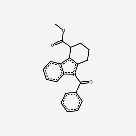 COC(=O)C1CCCc2c1c1ccccc1n2C(=O)c1ccccc1